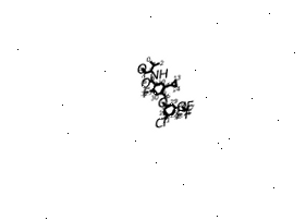 CC(C)C(C=O)NC(=O)c1cc(C2CC2)c(COc2cc(Cl)cc(OC(F)(F)F)c2)cc1F